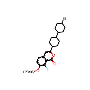 CCCCCOc1ccc2cc(C3CCC(C4CCC(CC)CC4)CC3)oc(=O)c2c1F